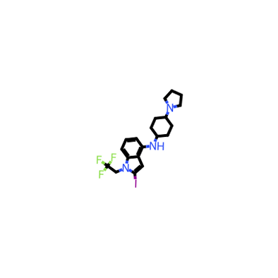 FC(F)(F)Cn1c(I)cc2c(NC3CCC(N4CCCC4)CC3)cccc21